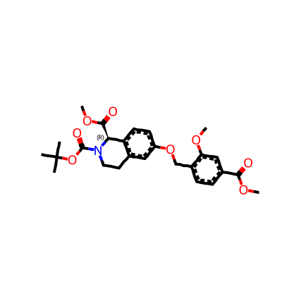 COC(=O)c1ccc(COc2ccc3c(c2)CCN(C(=O)OC(C)(C)C)[C@H]3C(=O)OC)c(OC)c1